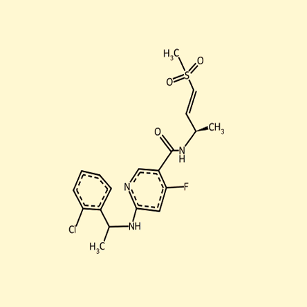 CC(Nc1cc(F)c(C(=O)N[C@H](C)/C=C/S(C)(=O)=O)cn1)c1ccccc1Cl